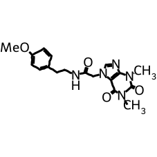 COc1ccc(CCNC(=O)Cn2cnc3c2c(=O)n(C)c(=O)n3C)cc1